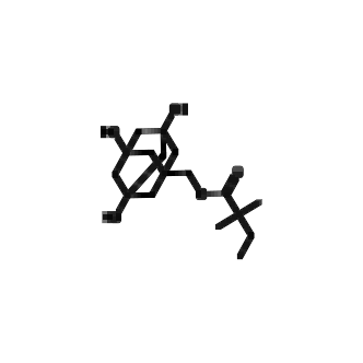 CCC(C)(C)C(=O)OCC12CC3(O)CC(O)(CC(O)(C3)C1)C2